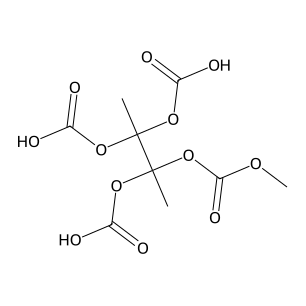 COC(=O)OC(C)(OC(=O)O)C(C)(OC(=O)O)OC(=O)O